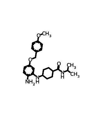 COc1ccc(COc2ccc(N)c(NC3CCC(C(=O)NC(C)C)CC3)c2)cc1